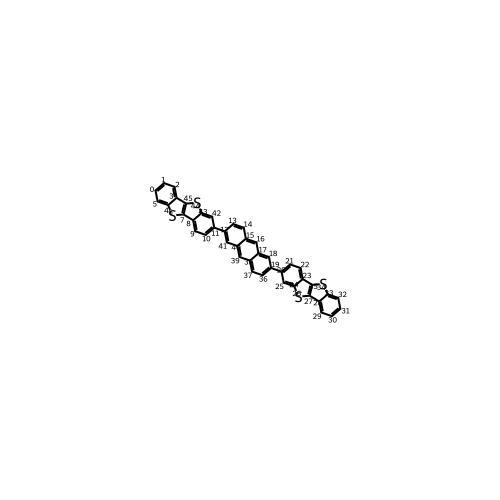 c1ccc2c(c1)sc1c3ccc(-c4ccc5cc6cc(-c7ccc8c(c7)sc7c9ccccc9sc87)ccc6cc5c4)cc3sc21